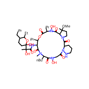 CCCCC1C(=O)N(O)CC(=O)N2NCCCC2C(=O)N2CCC(C)(OC)C2C(=O)N(O)C(C(C)C)C(=O)OC(C(C)C)C(NC(=O)C(C)(O)C2(O)CCC(CC(C)C)C(CC)O2)C(=O)N1C